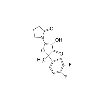 CC1(c2ccc(F)c(F)c2)OC(N2CCCC2=O)=C(O)C1=O